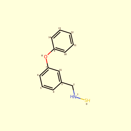 SNCc1cccc(Oc2ccccc2)c1